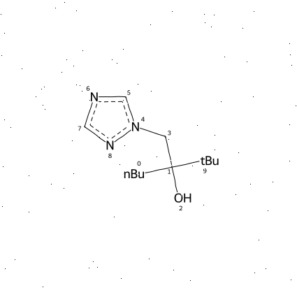 CCCCC(O)(Cn1cncn1)C(C)(C)C